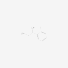 Cc1ccccc1C(O)CC(C)C